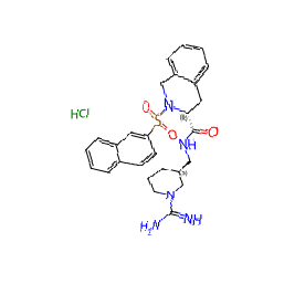 Cl.N=C(N)N1CCC[C@@H](CNC(=O)[C@H]2Cc3ccccc3CN2S(=O)(=O)c2ccc3ccccc3c2)C1